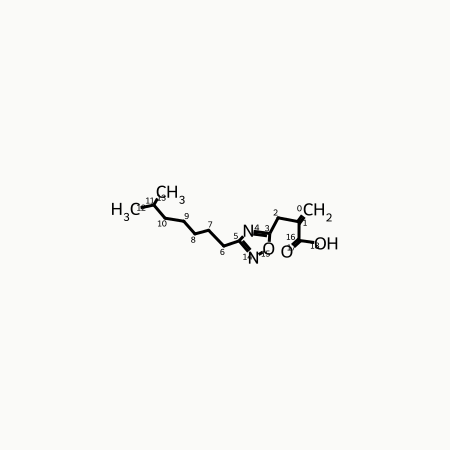 C=C(Cc1nc(CCCCCC(C)C)no1)C(=O)O